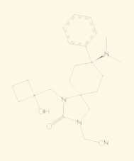 CN(C)[C@]1(c2ccccc2)CC[C@]2(CC1)CN(CC#N)C(=O)N2CC1(O)CCC1